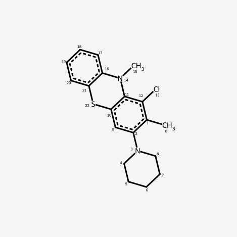 Cc1c(N2CCCCC2)cc2c(c1Cl)N(C)c1ccccc1S2